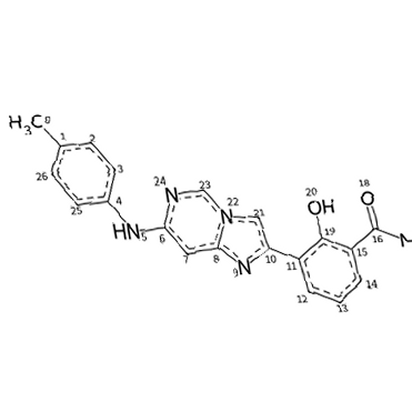 Cc1ccc(Nc2cc3nc(-c4cccc(C(N)=O)c4O)cn3cn2)cc1